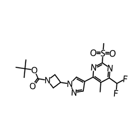 Cc1c(-c2cnn(C3CN(C(=O)OC(C)(C)C)C3)c2)nc(S(C)(=O)=O)nc1C(F)F